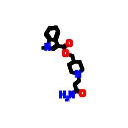 Cn1cc(C(=O)OCC2CCN(CCC(N)=O)CC2)c2ccccc21